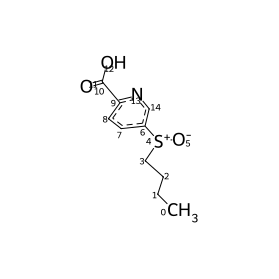 CCCC[S+]([O-])c1ccc(C(=O)O)nc1